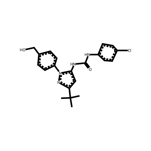 CC(C)(C)c1cc(NC(=O)Nc2ccc(Cl)cc2)n(-c2ccc(CO)cc2)n1